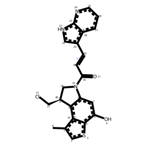 Cc1csc2c(O)cc3c(c12)[C@@H](CCl)CN3C(=O)/C=C/c1c[nH]c2ncccc12